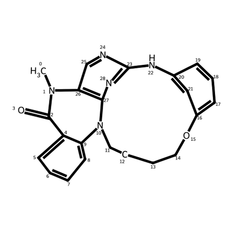 CN1C(=O)c2ccccc2N2CCCCOc3cccc(c3)Nc3ncc1c2n3